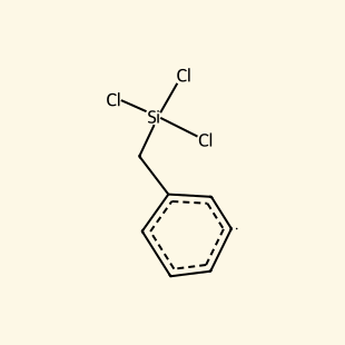 Cl[Si](Cl)(Cl)Cc1c[c]ccc1